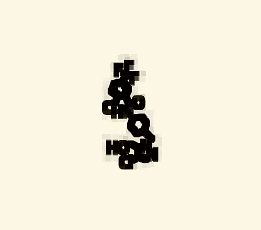 O=C(NC1CCC(Cn2ncc(Cl)c2CO)CC1)c1cc(C(F)(F)F)ccc1Cl